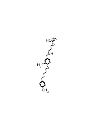 Cc1ccc(CCCCCSc2ccc(CNCCCO[PH](=O)O)cc2C)cc1